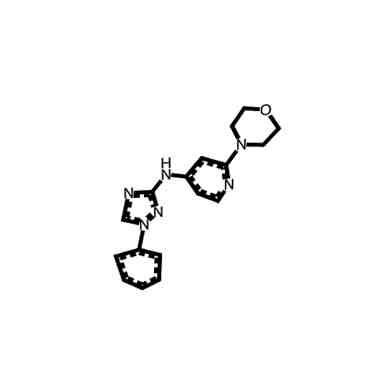 c1ccc(-n2cnc(Nc3ccnc(N4CCOCC4)c3)n2)cc1